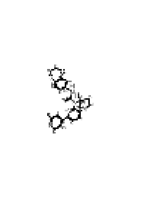 Cc1cc(-c2ccc3c(n2)N(C(=O)Nc2ccc4c(c2)OCCO4)[C@H]2CCN3C2)ccn1